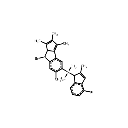 CC1=Cc2c(Br)cccc2C1[Si](C)(C)c1cc2c(cc1C)N(Br)C1C(C)=C(C)C(C)=C21